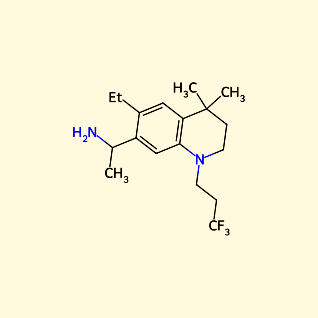 CCc1cc2c(cc1C(C)N)N(CCC(F)(F)F)CCC2(C)C